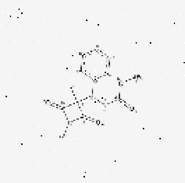 CC1C(=O)C(C)(C(NC(=O)OC(C)(C)C)c2ccccc2)C1=O